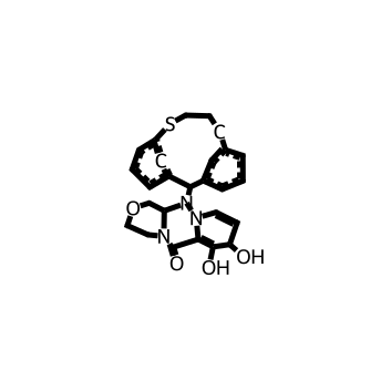 O=C1C2=C(O)C(O)C=CN2N(C2c3cccc(c3)CCCSc3cccc2c3)C2COCCN12